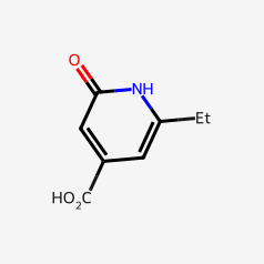 CCc1cc(C(=O)O)cc(=O)[nH]1